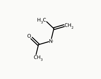 C=C(C)[N]C(C)=O